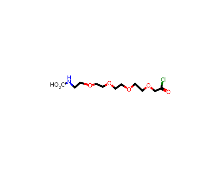 O=C(Cl)COCCOCCOCCOCCNC(=O)O